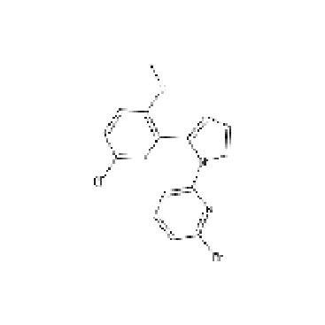 COc1ccc(Cl)cc1-c1cccn1-c1cccc(Br)n1